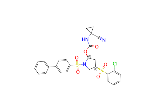 N#CC1(NC(=O)O[C@H]2C[C@@H](S(=O)(=O)c3ccccc3Cl)CN2S(=O)(=O)c2ccc(-c3ccccc3)cc2)CC1